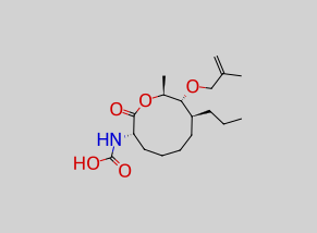 C=C(C)CO[C@@H]1[C@@H](CCC)CCCC[C@H](NC(=O)O)C(=O)O[C@H]1C